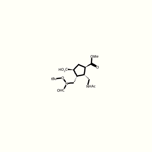 COC(=O)[C@@H]1C[C@H](C(=O)O)[C@@H](CN(C=O)OC(C)(C)C)[C@H]1CNC(C)=O